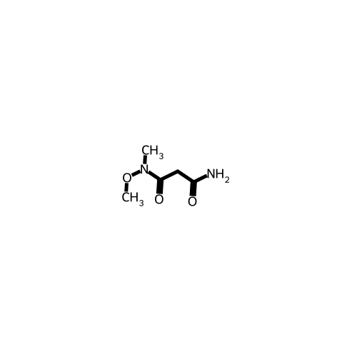 CON(C)C(=O)CC(N)=O